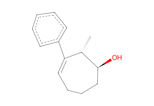 C[C@H]1C(c2ccccc2)=CCCC[C@@H]1O